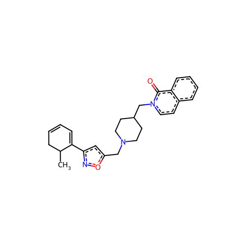 CC1CC=CC=C1c1cc(CN2CCC(Cn3ccc4ccccc4c3=O)CC2)on1